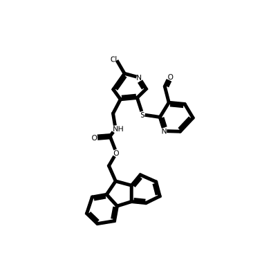 O=Cc1cccnc1Sc1cnc(Cl)cc1CNC(=O)OCC1c2ccccc2-c2ccccc21